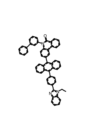 CCn1c(-c2ccc(-c3c4ccccc4c(-c4ccc5c(c4)c4ccccc4c(=O)n5-c4cccc(-c5ccccc5)c4)c4ccccc34)cc2)nc2ccccc21